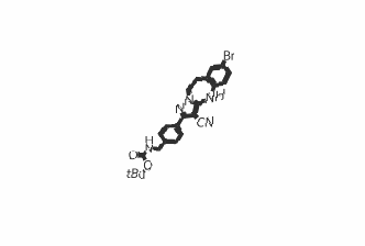 CC(C)(C)OC(=O)NCc1ccc(-c2nn3c(c2C#N)Nc2ccc(Br)cc2CC3)cc1